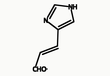 O=[C]C=Cc1c[nH]cn1